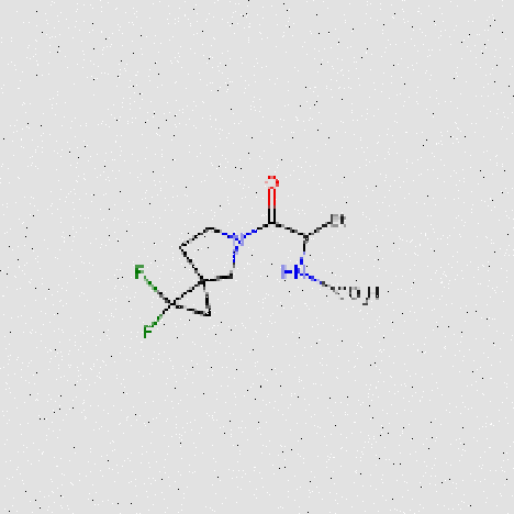 CCC(NC(=O)O)C(=O)N1CCC2(C1)CC2(F)F